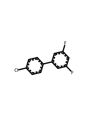 Fc1[c]c(F)cc(-c2ccc(Cl)cc2)c1